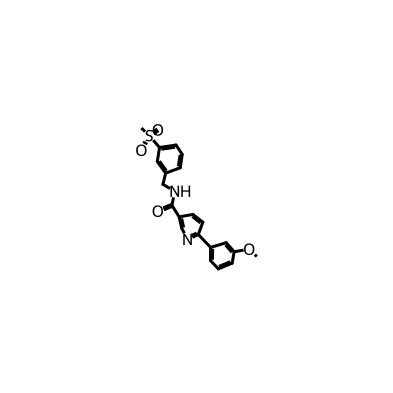 COc1cccc(-c2ccc(C(=O)NCc3cccc(S(C)(=O)=O)c3)cn2)c1